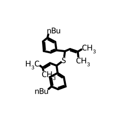 CCCCc1cccc(C(C=C(C)C)SC(C=C(C)C)c2cccc(CCCC)c2)c1